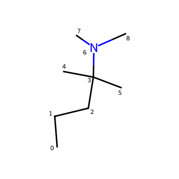 CCCC(C)(C)N(C)C